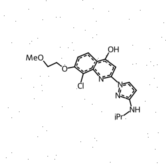 COCCOc1ccc2c(O)cc(-n3ccc(NC(C)C)n3)nc2c1Cl